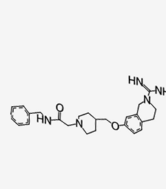 N=C(N)N1CCc2ccc(OCC3CCN(CC(=O)NCc4ccccc4)CC3)cc2C1